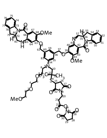 COCCOCCOCCN(CC(C)(C)SC1CC(=O)N(CCC(=O)ON2C(=O)CCC2=O)C1=O)c1cc(COc2cc3c(cc2OC)C(=O)N2c4ccccc4C[C@H]2C=N3)cc(COc2cc3c(cc2OC)C(=O)N2c4ccccc4C[C@H]2CN3)c1